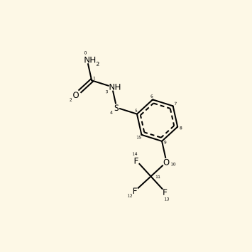 NC(=O)NSc1cccc(OC(F)(F)F)c1